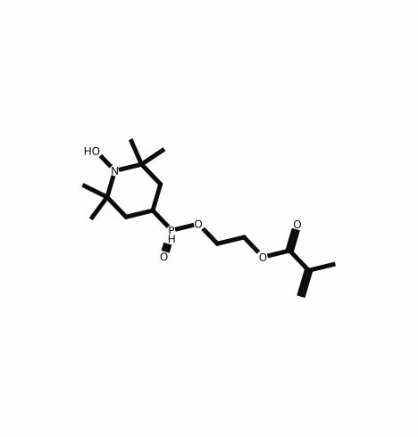 C=C(C)C(=O)OCCO[PH](=O)C1CC(C)(C)N(O)C(C)(C)C1